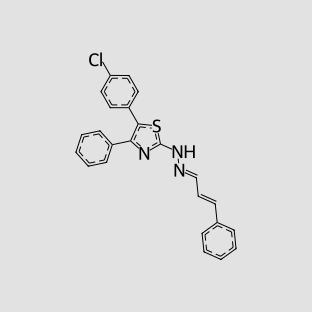 Clc1ccc(-c2sc(N/N=C/C=C/c3ccccc3)nc2-c2ccccc2)cc1